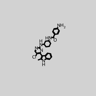 Cc1[nH]c2ccccc2c1-c1nc(NC2CCC[C@H](NC(=O)c3ccc(N)cc3)C2)ncc1Cl